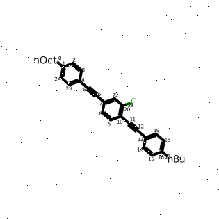 CCCCCCCCc1ccc(C#Cc2ccc(C#Cc3ccc(CCCC)cc3)c(F)c2)cc1